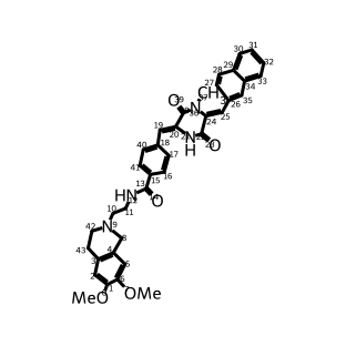 COc1cc2c(cc1OC)CN(CCNC(=O)c1ccc(C=c3[nH]c(=O)c(=Cc4ccc5ccccc5c4)n(C)c3=O)cc1)CC2